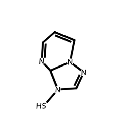 SN1C=NN2C=CC=NC12